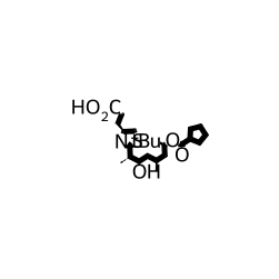 C[C@H](C[C@H](OC(=O)C1CCCC1)C(C)(C)C)C[C@H](O)[C@H](C)C1=N[C@@H](CCC(=O)O)CS1